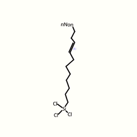 CCCCCCCCCCC/C=C/CCCCCCC[Si](Cl)(Cl)Cl